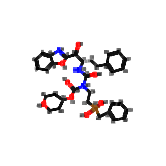 O=C(c1nc2ccccc2o1)[C@H](CCc1ccccc1)NC(=O)N(CCS(=O)(=O)Cc1ccccc1)C(=O)OC1CCOCC1